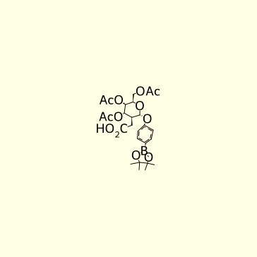 CC(=O)OC[C@H]1O[C@H](Oc2ccc(B3OC(C)(C)C(C)(C)O3)cc2)[C@@H](CC(=O)O)[C@H](OC(C)=O)[C@H]1OC(C)=O